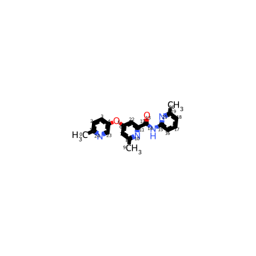 Cc1ccc(Oc2cc(C)nc(C(=O)Nc3cccc(C)n3)c2)cn1